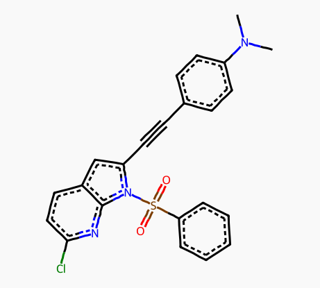 CN(C)c1ccc(C#Cc2cc3ccc(Cl)nc3n2S(=O)(=O)c2ccccc2)cc1